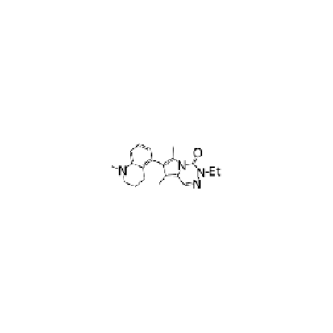 CCn1ncc2c(C)c(-c3cccc4c3CCCN4C)c(C)n2c1=O